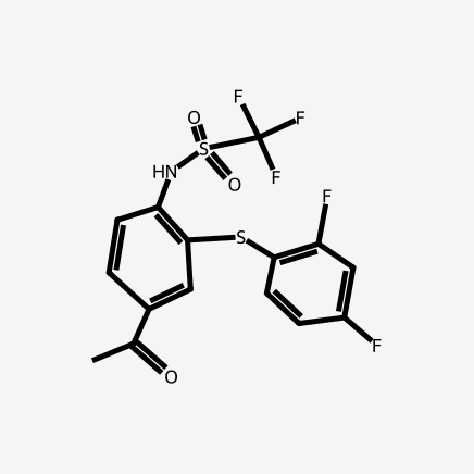 CC(=O)c1ccc(NS(=O)(=O)C(F)(F)F)c(Sc2ccc(F)cc2F)c1